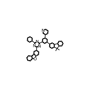 CC1(C)c2ccccc2-c2cc(-c3cc(-c4cccnc4)cc(-c4nc(-c5ccccc5)nc(-c5ccc6oc7ccccc7c6c5)n4)c3)ccc21